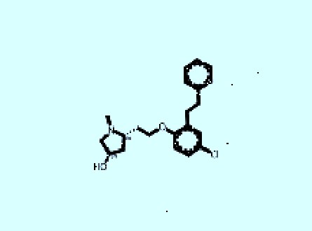 CN1C[C@H](O)C[C@H]1CCOc1ccc(Cl)cc1CCc1ccccc1